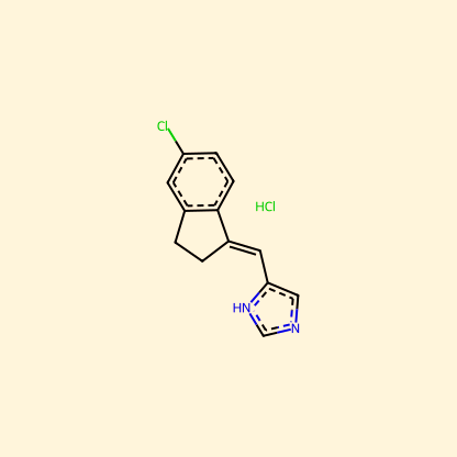 Cl.Clc1ccc2c(c1)CCC2=Cc1cnc[nH]1